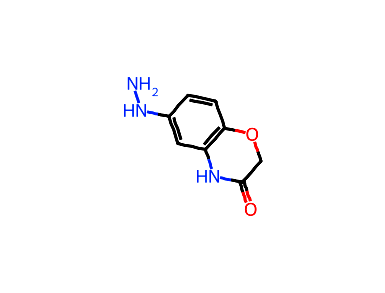 NNc1ccc2c(c1)NC(=O)CO2